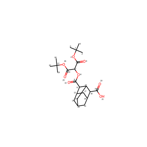 CC(C)(C)OC(=O)C(OC(=O)C1C2CC3CC(C2)C(C(=O)O)C1C3)C(=O)OC(C)(C)C